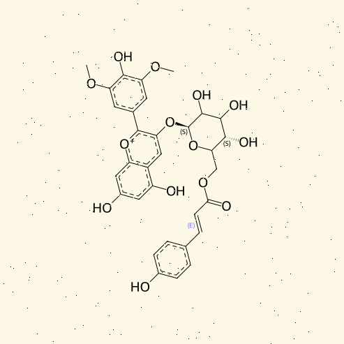 COc1cc(-c2[o+]c3cc(O)cc(O)c3cc2O[C@@H]2OC(COC(=O)/C=C/c3ccc(O)cc3)[C@@H](O)C(O)C2O)cc(OC)c1O